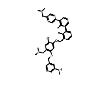 CNc1cncc(COc2cc(OCc3cccc(-c4cccc(-c5ccc(CN(C)C)nc5)c4C)c3C)c(Cl)cc2CN(C)C)c1